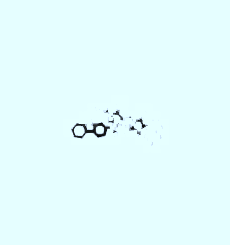 CN1C(=O)N(C[C@H](NS(=O)(=O)c2ccc3c4c(oc3c2)CCCC4)C(=O)NO)C(=O)C1(C)C